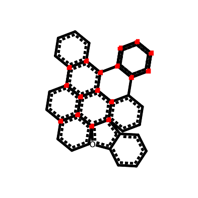 c1ccc(-c2ccccc2-c2c(-c3ccccc3)cccc2-c2ccccc2N(c2ccc3oc4ccccc4c3c2)c2ccccc2-c2ccccc2)cc1